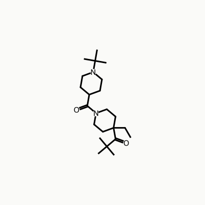 CCC1(C(=O)C(C)(C)C)CCN(C(=O)C2CCN(C(C)(C)C)CC2)CC1